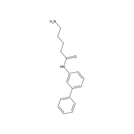 NCCCCC(=O)Nc1cccc(-c2ccccc2)c1